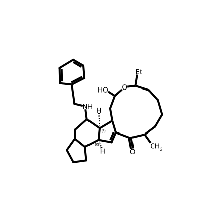 CCC1CCCCC(C)C(=O)C2=C[C@H]3C4CCCC4CC(NCc4ccccc4)[C@H]3C2CC(O)O1